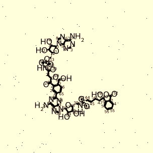 Nc1ncnc2c1ncn2[C@@H]1O[C@H](COS(=O)(=O)NC(=O)CCC(=O)c2cc(-c3nc(N)c4ncn([C@@H]5O[C@H](CNS(=O)(=O)/C=C/CCC6(O)OC(=O)c7ccccc76)[C@@H](O)[C@H]5O)c4n3)ccc2C(=O)O)[C@@H](O)[C@H]1O